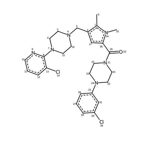 Cc1c(CN2CCN(c3ncccc3Cl)CC2)cc(C(=O)N2CCN(c3cccc(Cl)c3)CC2)n1C